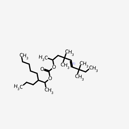 CCCCCC(CCC)C(C)OC(=O)OC(C)CC(C)(C)/C=C/C(C)(C)CC